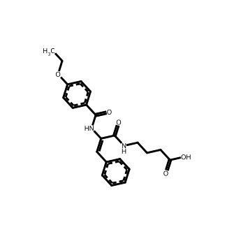 CCOc1ccc(C(=O)NC(=Cc2ccccc2)C(=O)NCCCC(=O)O)cc1